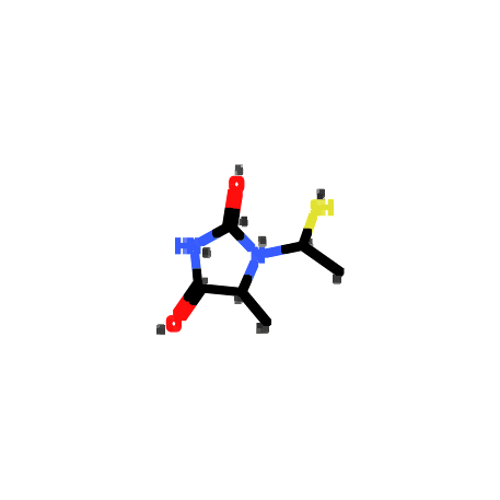 CC(S)N1C(=O)NC(=O)C1C